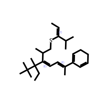 C/C=C(\SCC(C)/C(=C\C=C(/C)C1=CCCC=C1)C(C)(CC)C(C)(C)C)C(C)C